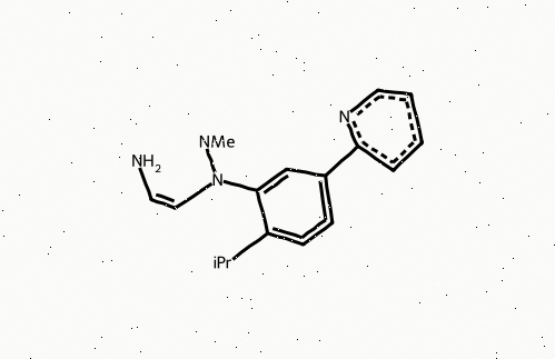 CNN(/C=C\N)C1=CC(c2ccccn2)=C=C=C1C(C)C